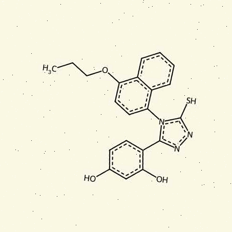 CCCOc1ccc(-n2c(S)nnc2-c2ccc(O)cc2O)c2ccccc12